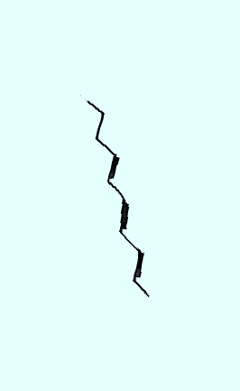 [CH2]CCCCC=CC=CC=CCCN